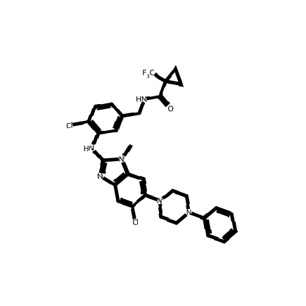 Cn1c(Nc2cc(CNC(=O)C3(C(F)(F)F)CC3)ccc2Cl)nc2cc(Cl)c(N3CCN(c4ccccc4)CC3)cc21